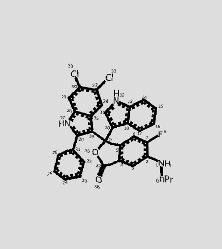 CCCNc1cc2c(cc1F)C(c1c[nH]c3ccccc13)(c1c(-c3ccccc3)[nH]c3cc(Cl)c(Cl)cc13)OC2=O